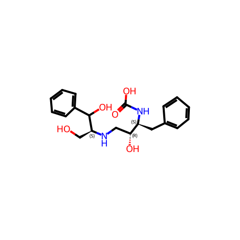 O=C(O)N[C@@H](Cc1ccccc1)[C@H](O)CN[C@@H](CO)C(O)c1ccccc1